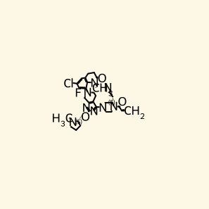 C=CC(=O)N1CCN(c2nc(OC[C@@H]3CCCN3C)nc3c2CCN(c2c(F)c(Cl)cc4c2N(C)C(=O)CC4)C3)C[C@@H]1CC#N